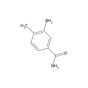 Bc1cc(C(N)=O)ccc1C